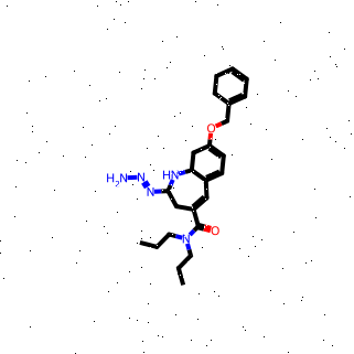 CCCN(CCC)C(=O)C1=CC2=CC=C(OCC3=CC=CCC3)CC2NC(N=NN)C1